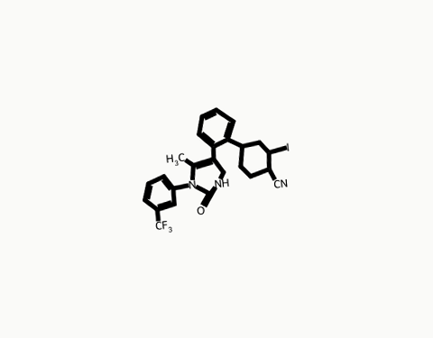 CC1=C(c2ccccc2C2CCC(C#N)C(I)C2)CNC(=O)N1c1cccc(C(F)(F)F)c1